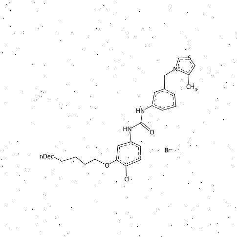 CCCCCCCCCCCCCCOc1cc(NC(=O)Nc2cccc(C[n+]3cscc3C)c2)ccc1Cl.[Br-]